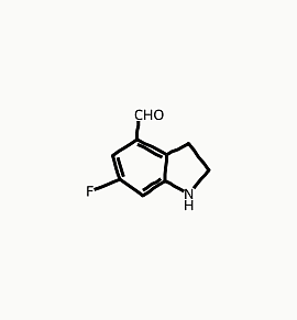 O=Cc1cc(F)cc2c1CCN2